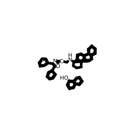 Oc1cccc2ccccc12.c1ccc(-c2nc(CCNC34CCCc5c3ccc3c5c4cc4ccccc43)oc2-c2ccccc2)cc1